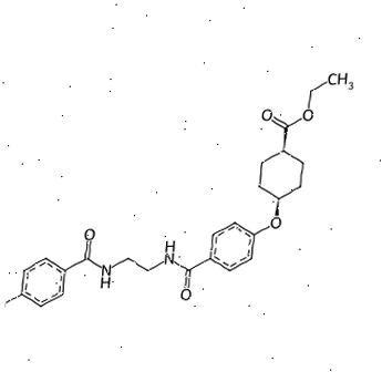 CCOC(=O)[C@H]1CC[C@@H](Oc2ccc(C(=O)NCCNC(=O)c3ccc(O)cc3)cc2)CC1